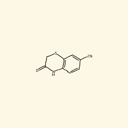 N#Cc1ccc2c(c1)SCC(=O)N2